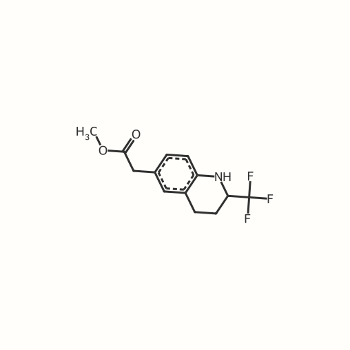 COC(=O)Cc1ccc2c(c1)CCC(C(F)(F)F)N2